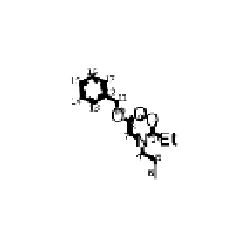 CCC(=O)N(CCI)CC(=O)OCc1ccccc1